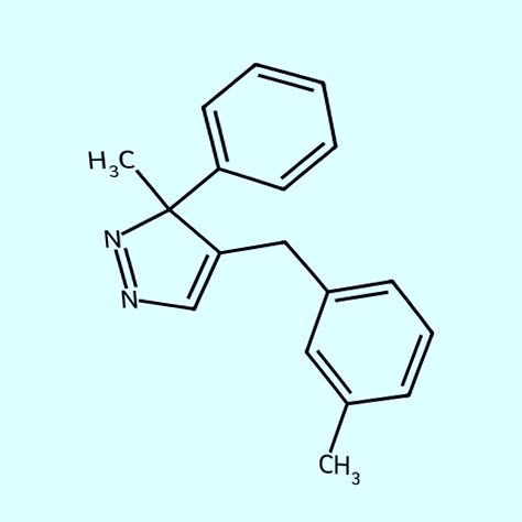 Cc1cccc(CC2=CN=NC2(C)c2ccccc2)c1